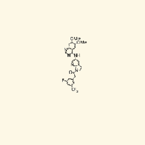 COc1cc2ncnc(Nc3cnc4c(c3)CCN4C(=O)Cc3cc(F)cc(C(F)(F)F)c3)c2cc1OC